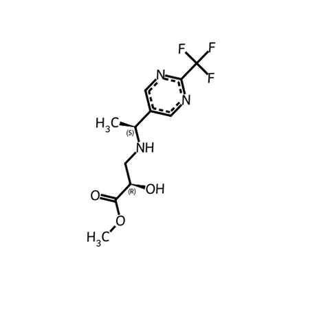 COC(=O)[C@H](O)CN[C@@H](C)c1cnc(C(F)(F)F)nc1